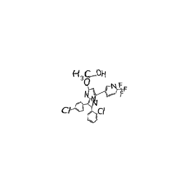 CC(CO)Oc1cc(-c2ccc(C(F)(F)F)nc2)n2nc(-c3ccccc3Cl)c(-c3ccc(Cl)cc3)c2n1